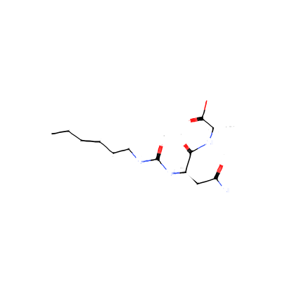 CCCCCCNC(=O)N[C@H](CC(N)=O)C(=O)N[C@@H](C)C(=O)O